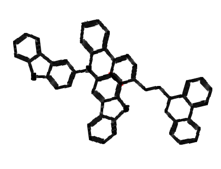 c1ccc2c(c1)CC(CCc1ccc(-c3ccccc3N(c3ccc4sc5ccccc5c4c3)c3ccc4sc5ccccc5c4c3)cc1)c1ccccc1-2